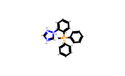 C[PH](c1ccccc1)(c1ccccc1)c1ccccc1-n1cncn1